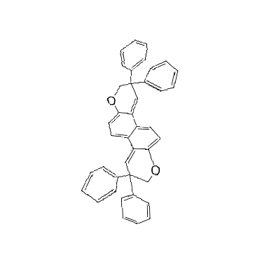 C1=c2c(ccc3c4c(ccc23)OCC(c2ccccc2)(c2ccccc2)C=4)OCC1(c1ccccc1)c1ccccc1